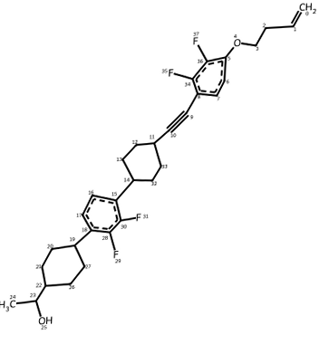 C=CCCOc1ccc(C#CC2CCC(c3ccc(C4CCC(C(C)O)CC4)c(F)c3F)CC2)c(F)c1F